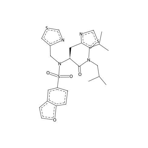 CC(C)CN(CC(C)C)C(=O)[C@H](Cc1cscn1)N(Cc1cscn1)S(=O)(=O)c1ccc2occc2c1